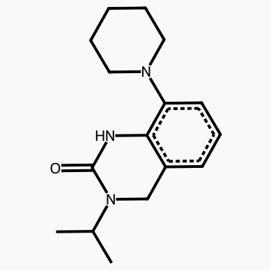 CC(C)N1Cc2cccc(N3CCCCC3)c2NC1=O